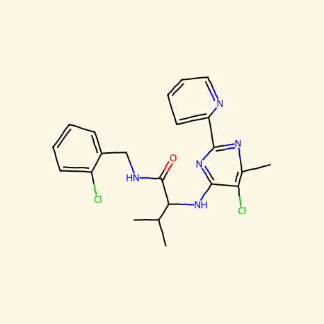 Cc1nc(-c2ccccn2)nc(NC(C(=O)NCc2ccccc2Cl)C(C)C)c1Cl